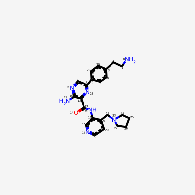 NCCc1ccc(-c2cnc(N)c(C(=O)Nc3cnccc3CN3CCCC3)n2)cc1